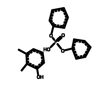 Cc1cccc(O)c1C.O=P(O)(Oc1ccccc1)Oc1ccccc1